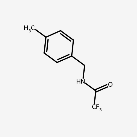 Cc1ccc(CNC(=O)C(F)(F)F)cc1